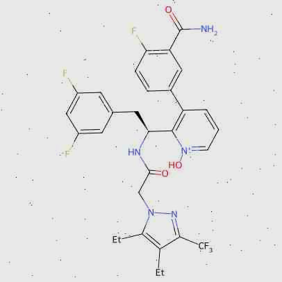 CCc1c(C(F)(F)F)nn(CC(=O)N[C@@H](Cc2cc(F)cc(F)c2)c2c(-c3ccc(F)c(C(N)=O)c3)ccc[n+]2O)c1CC